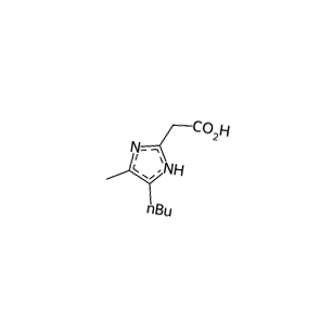 CCCCc1[nH]c(CC(=O)O)nc1C